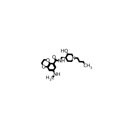 CCCCN1CC[C@@H](CNC(=O)c2cc(NC)cc3c2OCCO3)[C@H](O)C1